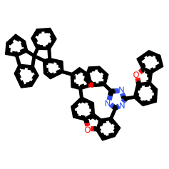 c1ccc(-c2nc(-c3cccc4c3oc3ccccc34)nc(-c3cccc4oc5ccc(-c6cccc(-c7ccc8c(c7)-c7ccccc7C87c8ccccc8-c8ccccc87)c6)cc5c34)n2)cc1